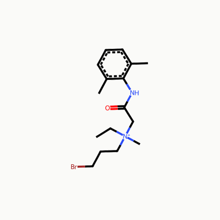 CC[N+](C)(CCCBr)CC(=O)Nc1c(C)cccc1C